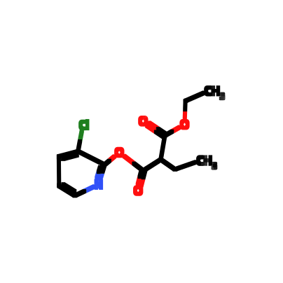 CCOC(=O)C(CC)C(=O)Oc1ncccc1Cl